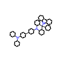 c1ccc(N(c2ccccc2)c2ccc(-c3ccc(N4c5ccccc5C(c5ccccc5)(n5c6ccccc6c6ccccc65)c5ccccc54)cc3)cc2)cc1